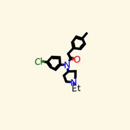 CCN1CCC(N(C(=O)Cc2ccc(C)cc2)c2ccc(Cl)cc2)CC1